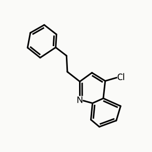 Clc1cc(CCc2ccccc2)nc2ccccc12